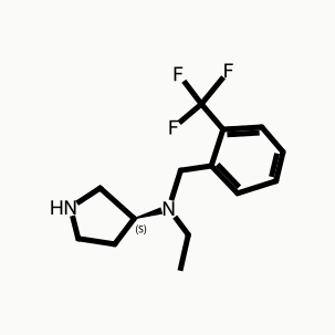 CCN(Cc1ccccc1C(F)(F)F)[C@H]1CCNC1